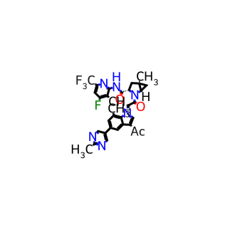 CC(=O)c1cn(CC(=O)N2[C@H](C(=O)Nc3nc(C(F)(F)F)cc(F)c3C)C[C@@]3(C)C[C@@H]23)c2c(C)cc(-c3cnc(C)nc3)cc12